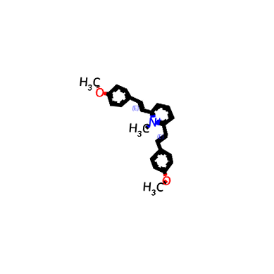 COc1ccc(/C=C/c2cccc(/C=C/c3ccc(OC)cc3)[n+]2C)cc1